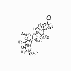 CC[C@H](C)[C@@H]([C@@H](CC(=O)N1[C@H]2C[C@H]2C[C@H]1[C@H](OC)[C@@H](C)C(=O)N[C@H](C)[C@@H](O)c1ccccc1)OC)N(C)C(=O)C(NC(=O)C(C(C)C)N(C)C(=O)O)C(C)C